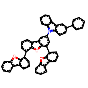 c1ccc(-c2ccc3c(c2)c2ccccc2n3-c2cc(-c3cccc4c3oc3ccccc34)c3oc4c(-c5cccc6c5oc5ccccc56)cccc4c3c2)cc1